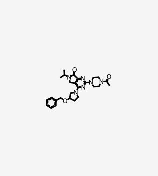 CC(=O)N1CCN(c2nc3c(c(N4CCC(OCc5ccccc5)C4)n2)CN(C(C)C)C3=O)CC1